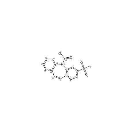 CS(=O)(=O)c1ccc2c(c1)N(C(=O)Cl)c1ccccc1C=C2